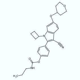 CCCNC(=O)Oc1ccc(-c2c(C#N)c3ccc(OC4CCOCC4)cc3n2C2CCC2)cc1